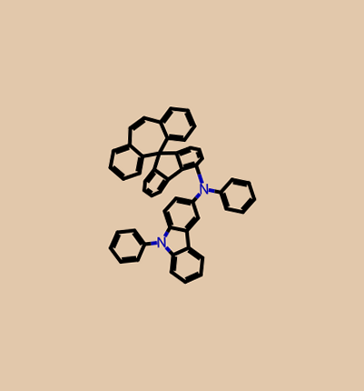 C1=Cc2ccccc2C2(c3ccccc31)c1ccccc1-c1c(N(c3ccccc3)c3ccc4c(c3)c3ccccc3n4-c3ccccc3)cccc12